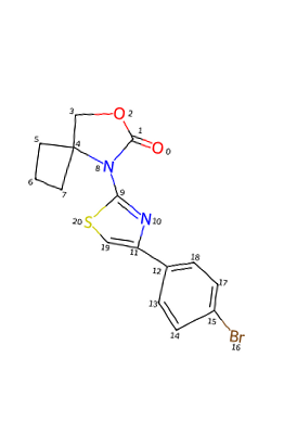 O=C1OCC2(CCC2)N1c1nc(-c2ccc(Br)cc2)cs1